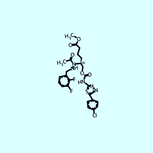 COC(=O)CCC[C@@H](COC(=O)Nc1nnc(-c2ccc(Cl)cc2)s1)N(NCc1cccc(F)c1F)C(C)=O